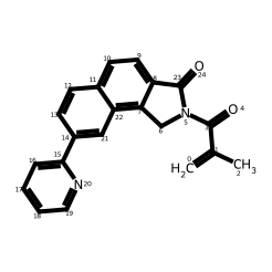 C=C(C)C(=O)N1Cc2c(ccc3ccc(-c4ccccn4)cc23)C1=O